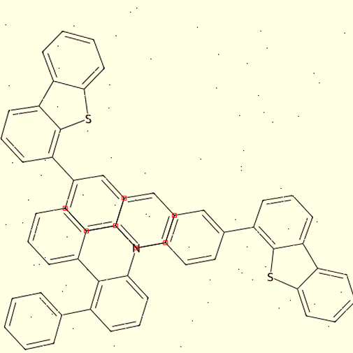 c1ccc(-c2ccccc2-c2c(-c3ccccc3)cccc2N(c2ccc(-c3cccc4c3sc3ccccc34)cc2)c2ccc(-c3cccc4c3sc3ccccc34)cc2)cc1